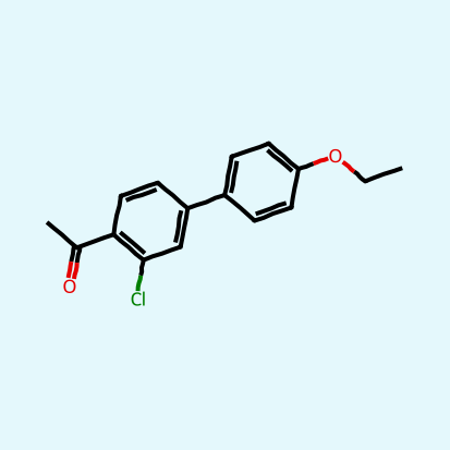 CCOc1ccc(-c2ccc(C(C)=O)c(Cl)c2)cc1